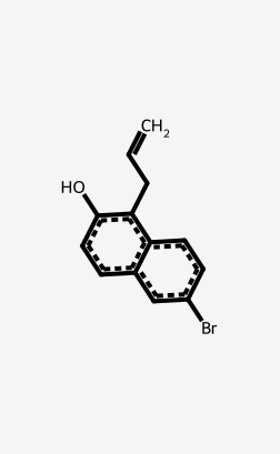 C=CCc1c(O)ccc2cc(Br)ccc12